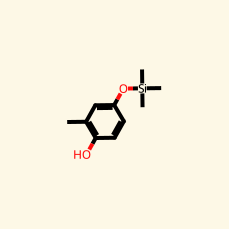 Cc1cc(O[Si](C)(C)C)ccc1O